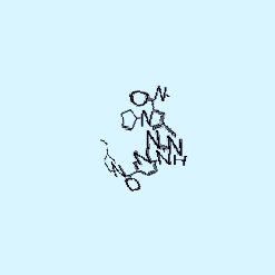 CCC1CCN(C(=O)c2ccc(Nc3ncc4cc(C(=O)N(C)C)n(C5CCCC5)c4n3)nc2)C1